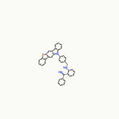 N=C(c1ccccc1)c1ccccc1NCc1ccc(-n2c3ccccc3c3cc4sc5ccccc5c4cc32)cc1